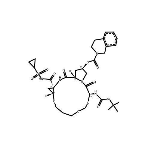 CC(C)(C)OC(=O)N[C@H]1CCCCCCC[C@@H]2C[C@@]2(C(=O)NS(=O)(=O)C2CC2)NC(=O)[C@@H]2C[C@@H](OC(=O)N3CCc4ccccc4C3)CN2C1=O